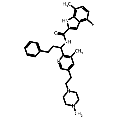 Cc1cc(CCN2CCN(C)CC2)cnc1C(CCc1ccccc1)NC(=O)c1cc2c(F)ccc(C)c2[nH]1